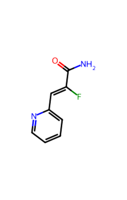 NC(=O)C(F)=Cc1ccccn1